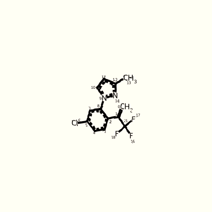 C=C(c1ccc(Cl)cc1-n1ccc(C)n1)C(F)(F)F